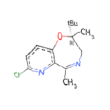 CC1=NC[C@@](C)(C(C)(C)C)Oc2ccc(Cl)nc21